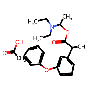 CC(=O)O.CCN(CC)C(C)OC(=O)C(C)c1cccc(Oc2ccccc2)c1